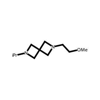 COCCN1CC2(C1)CN(C(C)C)C2